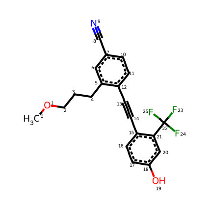 COCCCc1cc(C#N)ccc1C#Cc1ccc(O)cc1C(F)(F)F